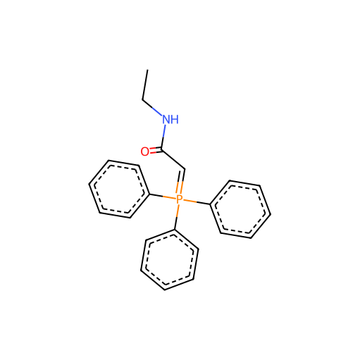 CCNC(=O)C=P(c1ccccc1)(c1ccccc1)c1ccccc1